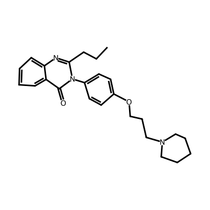 CCCc1nc2ccccc2c(=O)n1-c1ccc(OCCCN2CCCCC2)cc1